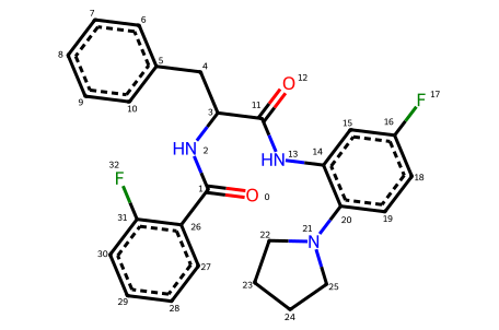 O=C(NC(Cc1ccccc1)C(=O)Nc1cc(F)ccc1N1CCCC1)c1ccccc1F